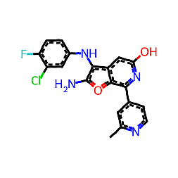 Cc1cc(-c2nc(O)cc3c(Nc4ccc(F)c(Cl)c4)c(N)oc23)ccn1